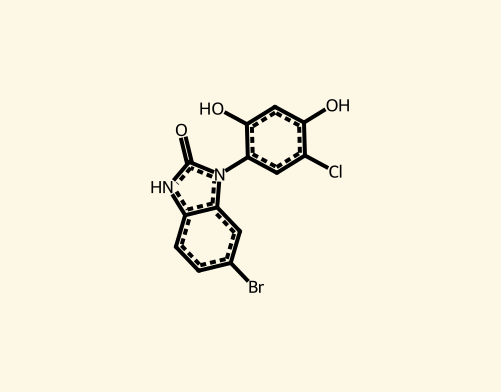 O=c1[nH]c2ccc(Br)cc2n1-c1cc(Cl)c(O)cc1O